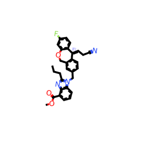 CCCc1nc2c(C(=O)OC)cccc2n1Cc1ccc2c(c1)COc1cc(F)ccc1/C2=C/CC#N